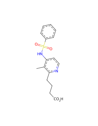 Cc1c(NS(=O)(=O)c2ccccc2)ccnc1CCCC(=O)O